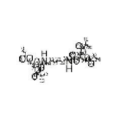 C=CC(=O)OCC(COC(=O)C(=C)C)OC(=O)NCCCCCCNC(=O)OC(COC(=O)C=C)COC(=O)C(=C)C